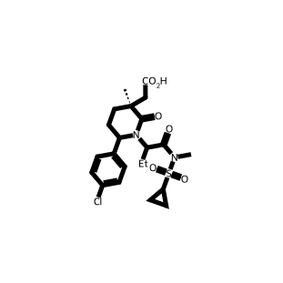 CCC(C(=O)N(C)S(=O)(=O)C1CC1)N1C(=O)[C@](C)(CC(=O)O)CCC1c1ccc(Cl)cc1